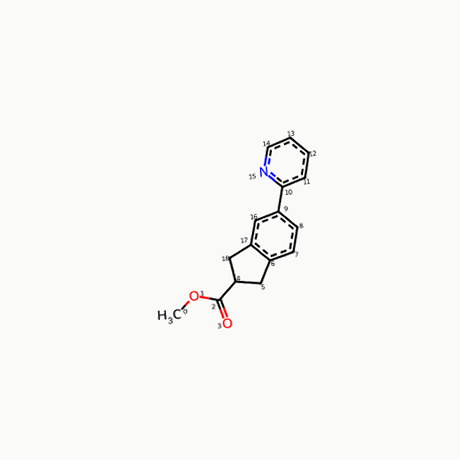 COC(=O)C1Cc2ccc(-c3ccccn3)cc2C1